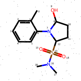 Cc1ccccc1N1C(O)CCC1S(=O)(=O)N(C)C